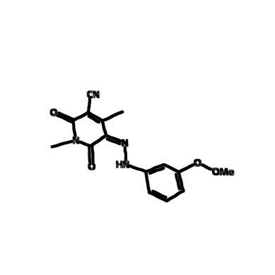 COOc1cccc(N/N=C2\C(=O)N(C)C(=O)C(C#N)=C2C)c1